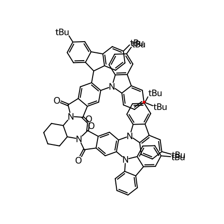 CC(C)(C)c1ccc2c(c1)-c1cc(C(C)(C)C)ccc1C2c1cc2c(cc1-n1c3ccc(C(C)(C)C)cc3c3cc(C(C)(C)C)ccc31)C(=O)N(C1CCCCC1N1C(=O)c3cc(-n4c5ccccc5c5cc(C(C)(C)C)ccc54)c(-n4c5ccc(C(C)(C)C)cc5c5cc(C(C)(C)C)ccc54)cc3C1=O)C2=O